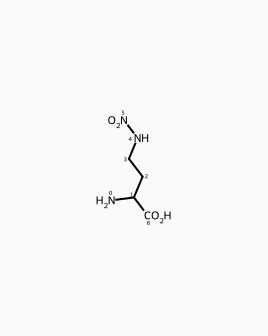 NC(CCN[N+](=O)[O-])C(=O)O